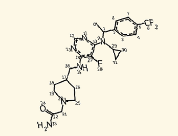 CC(c1ccc(C(F)(F)F)cc1)N(c1ncnc(NCC2CCN(CC(N)=O)CC2)c1F)C1CC1